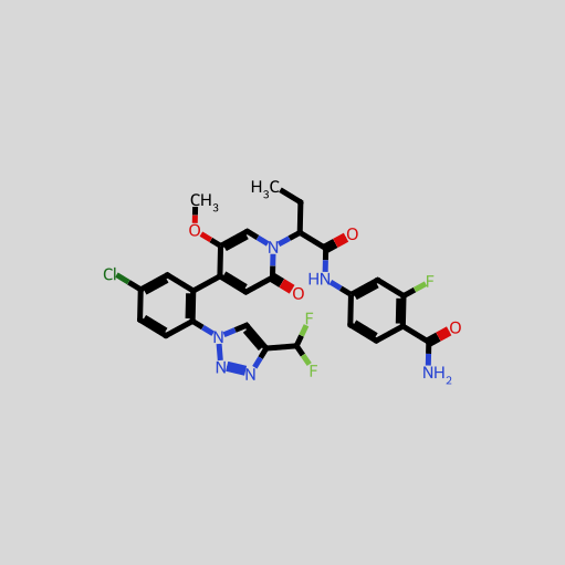 CCC(C(=O)Nc1ccc(C(N)=O)c(F)c1)n1cc(OC)c(-c2cc(Cl)ccc2-n2cc(C(F)F)nn2)cc1=O